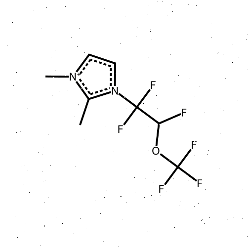 Cc1n(C(F)(F)C(F)OC(F)(F)F)cc[n+]1C